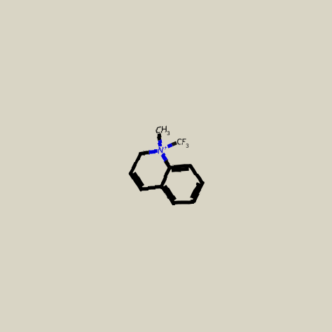 C[N+]1(C(F)(F)F)CC=Cc2ccccc21